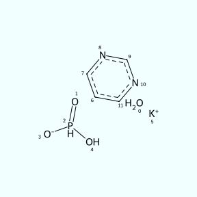 O.O=[PH]([O-])O.[K+].c1cncnc1